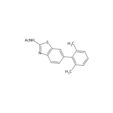 CC(=O)Nc1nc2ccc(-c3c(C)cccc3C)cc2s1